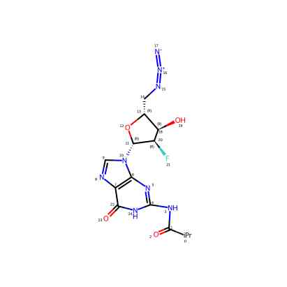 CC(C)C(=O)Nc1nc2c(ncn2[C@@H]2O[C@H](CN=[N+]=[N-])[C@@H](O)[C@H]2F)c(=O)[nH]1